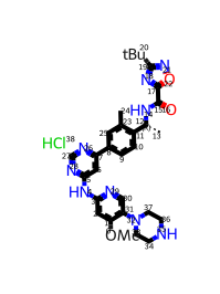 COc1cc(Nc2cc(-c3ccc([C@@H](C)NC(=O)c4nc(C(C)(C)C)no4)c(C)c3)ncn2)ncc1N1CCNCC1.Cl